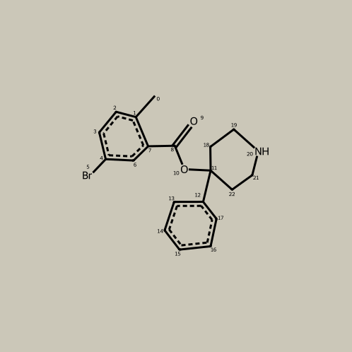 Cc1ccc(Br)cc1C(=O)OC1(c2ccccc2)CCNCC1